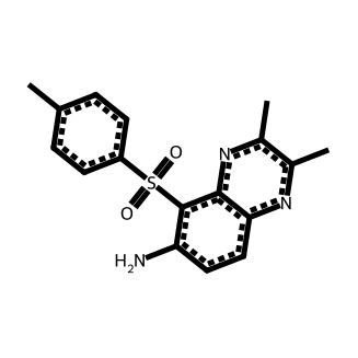 Cc1ccc(S(=O)(=O)c2c(N)ccc3nc(C)c(C)nc23)cc1